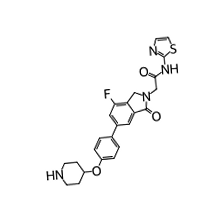 O=C(CN1Cc2c(F)cc(-c3ccc(OC4CCNCC4)cc3)cc2C1=O)Nc1nccs1